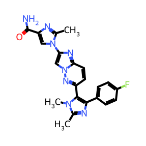 Cc1nc(C(N)=O)cn1-c1cn2nc(-c3c(-c4ccc(F)cc4)nc(C)n3C)ccc2n1